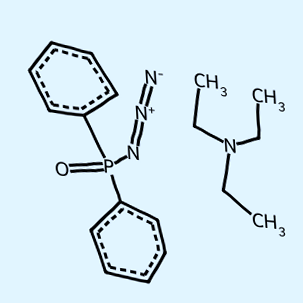 CCN(CC)CC.[N-]=[N+]=NP(=O)(c1ccccc1)c1ccccc1